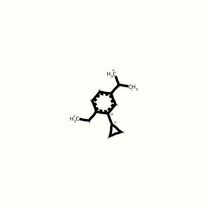 CCc1ccc([C](C)C)cc1C1CC1